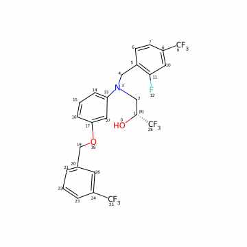 O[C@H](CN(Cc1ccc(C(F)(F)F)cc1F)c1cccc(OCc2cccc(C(F)(F)F)c2)c1)C(F)(F)F